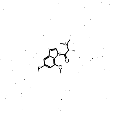 COc1cc(F)cc2ccn(C(=O)[C@@H](C)N(C)C)c12